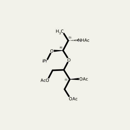 CC(=O)N[C@@H](C)[C@H](OC(C)C)OC(COC(C)=O)[C@H](COC(C)=O)OC(C)=O